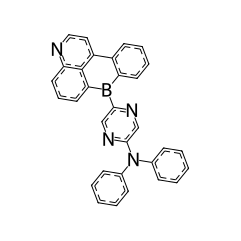 c1ccc(N(c2ccccc2)c2cnc(B3c4ccccc4-c4ccnc5cccc3c45)cn2)cc1